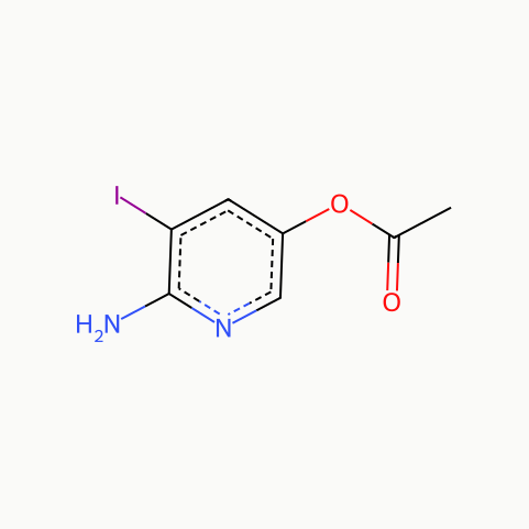 CC(=O)Oc1cnc(N)c(I)c1